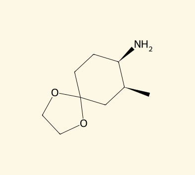 C[C@H]1CC2(CC[C@H]1N)OCCO2